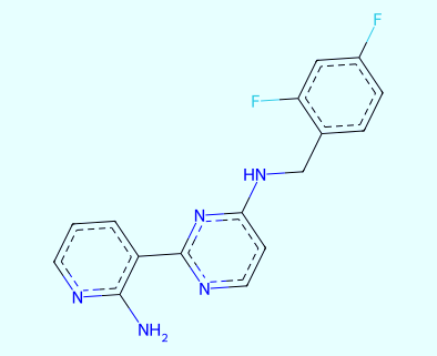 Nc1ncccc1-c1nccc(NCc2ccc(F)cc2F)n1